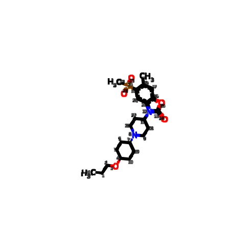 CCCO[C@H]1CC[C@H](N2CCC(n3c(=O)oc4cc(C)c(S(C)(=O)=O)cc43)CC2)CC1